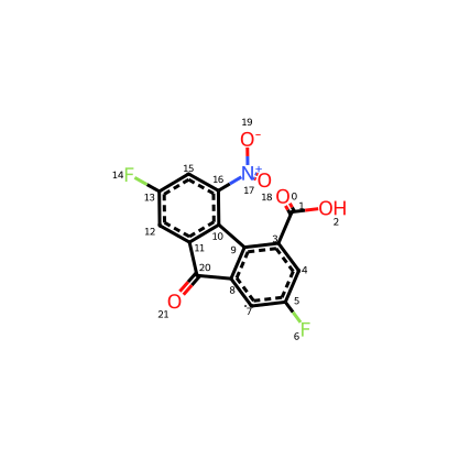 O=C(O)c1cc(F)[c]c2c1-c1c(cc(F)cc1[N+](=O)[O-])C2=O